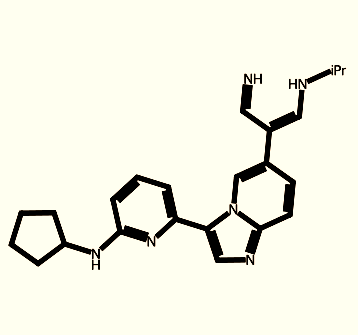 CC(C)N/C=C(\C=N)c1ccc2ncc(-c3cccc(NC4CCCC4)n3)n2c1